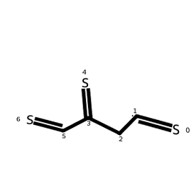 S=[C]CC(=S)C=S